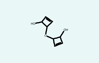 OC1C=CC1OC1C=CC1O